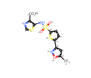 O=C(O)c1ncsc1NS(=O)(=O)c1ccc(-c2cc(C(F)(F)F)on2)s1